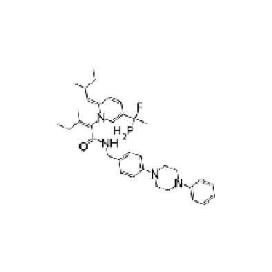 CC/C(C)=C(\C(=O)NCc1ccc(N2CCN(c3ccccc3)CC2)cc1)N1C=C(C(C)(F)P)C=C/C1=C\C(C)CC